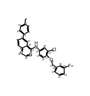 Cc1ccc(-c2ccc3ncnc(Nc4ccc(OCc5cccc(F)c5)c(Cl)c4)c3c2)cc1